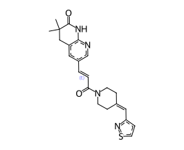 CC1(C)Cc2cc(/C=C/C(=O)N3CCC(=Cc4ccsn4)CC3)cnc2NC1=O